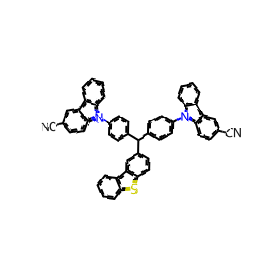 N#Cc1ccc2c(c1)c1ccccc1n2-c1ccc(C(c2ccc(-n3c4ccccc4c4cc(C#N)ccc43)cc2)c2ccc3sc4ccccc4c3c2)cc1